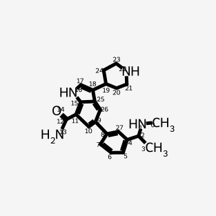 CNC(C)c1cccc(-c2cc(C(N)=O)c3[nH]cc(C4CCNCC4)c3c2)c1